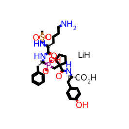 CS(=O)(=O)N[C@@H](CCCCN)C(=O)N[C@@H](Cc1ccccc1)P(=O)(O)CC1(C(=O)N[C@@H](Cc2ccc(O)cc2)C(=O)O)CCCC1.[LiH]